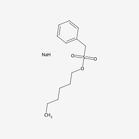 CCCCCCOS(=O)(=O)Cc1ccccc1.[NaH]